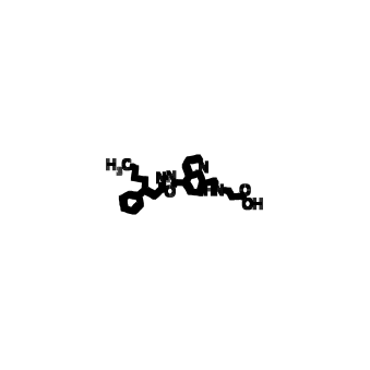 CCCC/C(=C\c1nnc(-c2ccc(CNCCC(=O)O)c3ncccc23)o1)c1ccccc1